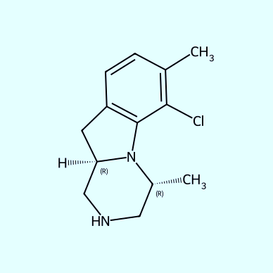 Cc1ccc2c(c1Cl)N1[C@@H](CNC[C@H]1C)C2